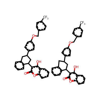 O=c1oc2ccccc2c(O)c1C1CC(c2ccc(OCc3ccc(C(F)(F)F)cc3)cc2)Cc2ccccc21.O=c1oc2ccccc2c(O)c1C1CC(c2ccc(OCc3ccc(C(F)(F)F)cc3)cc2)Cc2ccccc21